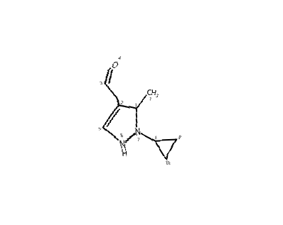 CC1C(C=O)=CNN1C1CC1